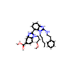 CCCCCn1c(NCCc2ccccc2)nc2cccc(-c3nc4cc(C(=O)OC)ccc4n3CCCOC)c21